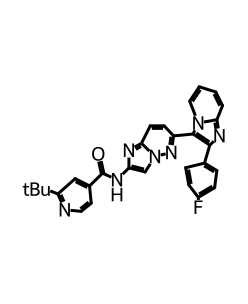 CC(C)(C)c1cc(C(=O)Nc2cn3nc(-c4c(-c5ccc(F)cc5)nc5ccccn45)ccc3n2)ccn1